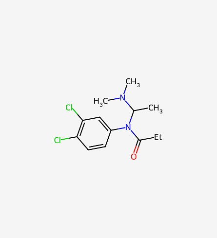 CCC(=O)N(c1ccc(Cl)c(Cl)c1)C(C)N(C)C